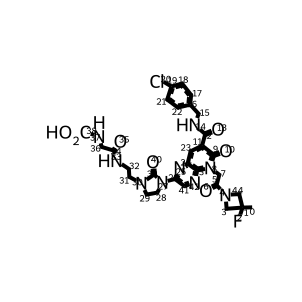 CC1(F)CN(C(=O)Cn2c(=O)c(C(=O)NCc3ccc(Cl)cc3)cc3nc(N4CCN(CCNC(=O)CNC(=O)O)C4=O)cnc32)C1